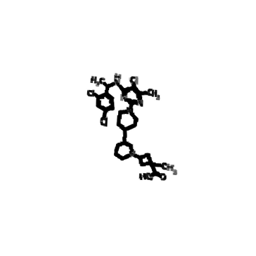 Cc1nc(N2CCC(C3CCCN(C4CC(C)(C(=O)O)C4)C3)CC2)nc(N[C@H](C)c2ccc(Cl)cc2Cl)c1Cl